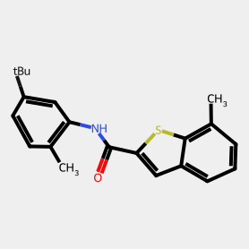 Cc1ccc(C(C)(C)C)cc1NC(=O)c1cc2cccc(C)c2s1